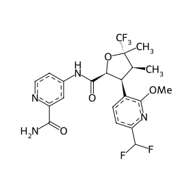 COc1nc(C(F)F)ccc1[C@H]1[C@@H](C(=O)Nc2ccnc(C(N)=O)c2)O[C@](C)(C(F)(F)F)[C@H]1C